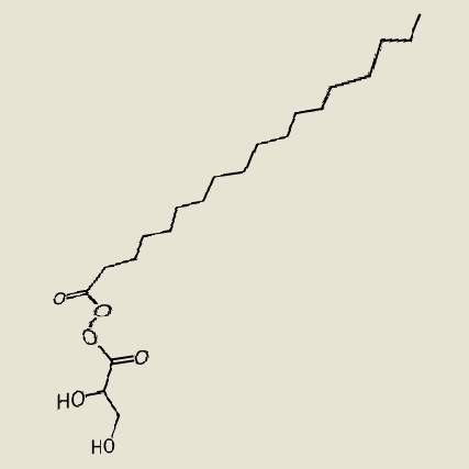 CCCCCCCCCCCCCCCCCC(=O)OOC(=O)C(O)CO